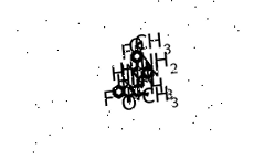 CCCN1C(=O)c2cc(F)ccc2NC1C(C)Nc1ncnc(N)c1C(=N)c1ccc(OC)c(F)c1